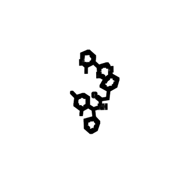 Cc1ccc(C(NC(=O)Cc2ccc3ncc(-c4cccnc4C)nc3c2)c2ccccc2)c(C)c1